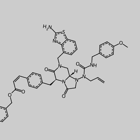 C=CCN(C(=O)NCc1ccc(OC)cc1)N1CC(=O)N2[C@@H](Cc3ccc(/C=C\C(=O)OCc4ccccc4)cc3)C(=O)N(Cc3cccc4sc(N)nc34)C[C@@H]21